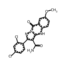 COc1ccc2[nH]c3c(C(N)=O)c(-c4ccc(Cl)cc4Cl)nn3c(=O)c2c1